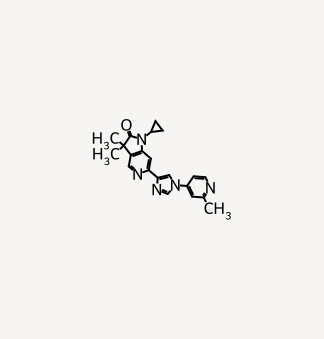 Cc1cc(-n2cnc(-c3cc4c(cn3)C(C)(C)C(=O)N4C3CC3)c2)ccn1